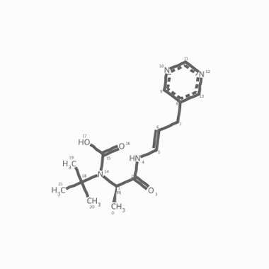 C[C@H](C(=O)NC=CCc1cncnc1)N(C(=O)O)C(C)(C)C